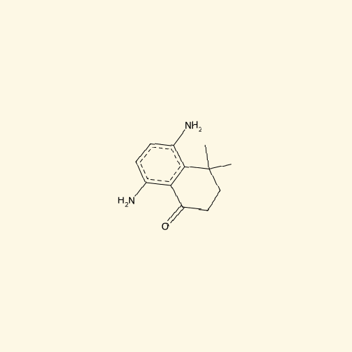 CC1(C)CCC(=O)c2c(N)ccc(N)c21